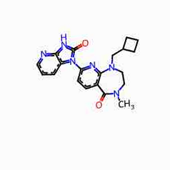 CN1CCN(CC2CCC2)c2nc(-n3c(=O)[nH]c4ncccc43)ccc2C1=O